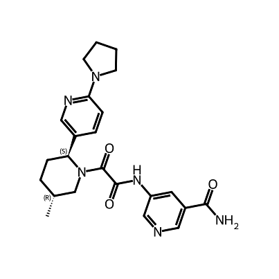 C[C@@H]1CC[C@@H](c2ccc(N3CCCC3)nc2)N(C(=O)C(=O)Nc2cncc(C(N)=O)c2)C1